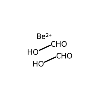 O=[C-]O.O=[C-]O.[Be+2]